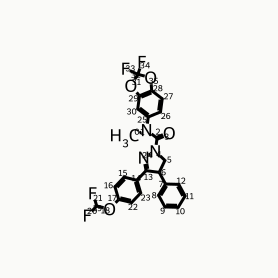 CN(C(=O)N1CC(c2ccccc2)C(c2ccc(OC(F)F)cc2)=N1)c1ccc2c(c1)OC(F)(F)O2